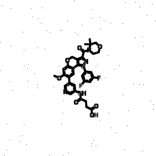 COc1cc2c(cc1-c1cncc(NC(=O)CCC(=O)O)c1)-c1c(c(C(=O)N3CCOCC3(C)C)nn1-c1cc(F)cc(F)c1)CO2